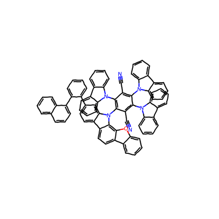 N#Cc1c(-n2c3ccccc3c3ccccc32)c(-n2c3ccccc3c3ccccc32)c(C#N)c(-n2c3cc(-c4ccccc4-c4cccc5ccccc45)ccc3c3ccc4c5ccccc5oc4c32)c1-n1c2ccccc2c2ccccc21